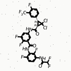 O=C(Nc1c(F)ccc(NC(=O)C(F)F)c1F)c1cc(NC(=O)[C@H]2[C@H](c3ccc(F)c(C(F)(F)F)c3)C2(Cl)Cl)cc(F)c1F